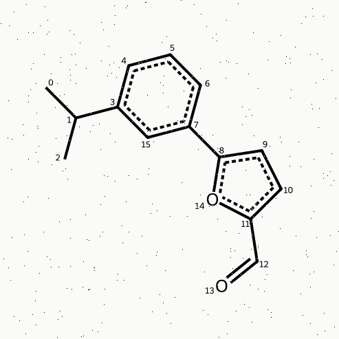 CC(C)c1cccc(-c2ccc(C=O)o2)c1